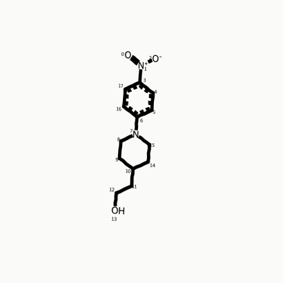 O=[N+]([O-])c1ccc(N2CCC(CCO)CC2)cc1